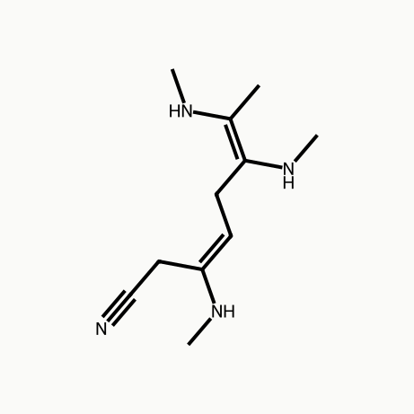 CNC(C)=C(C/C=C(\CC#N)NC)NC